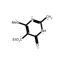 CCOC(=O)c1c(SC)nc(C)[nH]c1=O